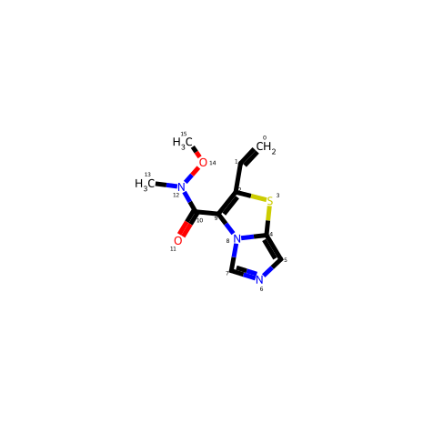 C=Cc1sc2cncn2c1C(=O)N(C)OC